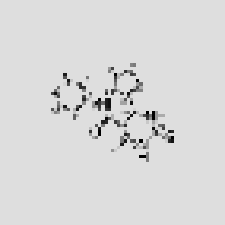 CC1=C(C(=O)Nc2ccccc2)C(c2cccs2)NC(=S)N1